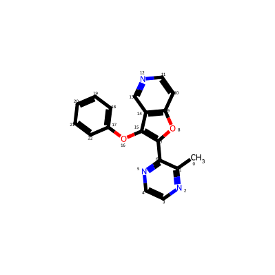 Cc1nccnc1-c1oc2ccncc2c1Oc1ccccc1